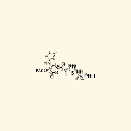 COc1c(NC2CCCC2)cc(C(=O)Nc2nnc(N/C(C)=C\C=N)s2)oc1=O